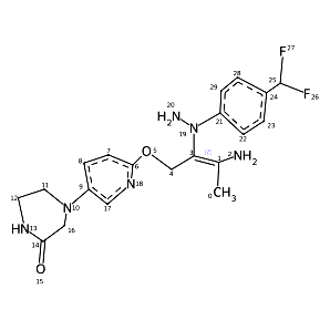 C/C(N)=C(\COc1ccc(N2CCNC(=O)C2)cn1)N(N)c1ccc(C(F)F)cc1